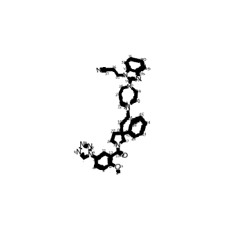 COc1ccc(-n2cnnn2)cc1C(=O)N1CCC(CCN2CCCN(c3nc4ccccc4n3CCC#N)CC2)(c2ccccc2)C1